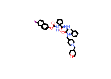 O=C(NC1(C(=O)N[C@H](Cc2ccccc2)C(=O)NCC2CCN(CC3CCOCC3)CC2)CCCC1)Oc1ccc2cc(I)ccc2c1